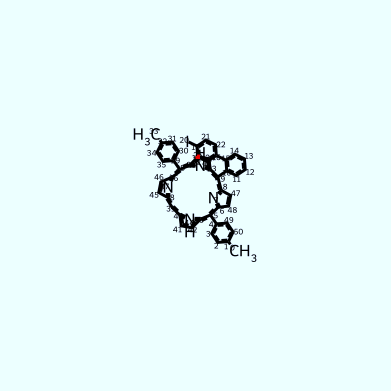 Cc1ccc(-c2c3nc(c(-c4ccccc4-c4ccc(I)cc4)c4ccc([nH]4)c(-c4ccc(C)cc4)c4nc(cc5ccc2[nH]5)C=C4)C=C3)cc1